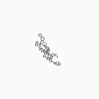 CC(C)C(NC(=O)NCC(C)(C)OC(=O)OCCN1CCOCC1)C(=O)N1CCC(c2ccc(Cl)cc2)C(C)(C)C1